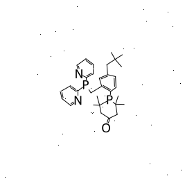 CC(C)(C)Cc1ccc(P2C(C)(C)CC(=O)CC2(C)C)c(CP(c2ccccn2)c2ccccn2)c1